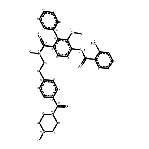 COc1c(NC(=O)c2ccccc2O)ccc(C(=O)N(C)CCc2ccc(C(=O)N3CCN(C)CC3)cc2)c1-c1ccccc1